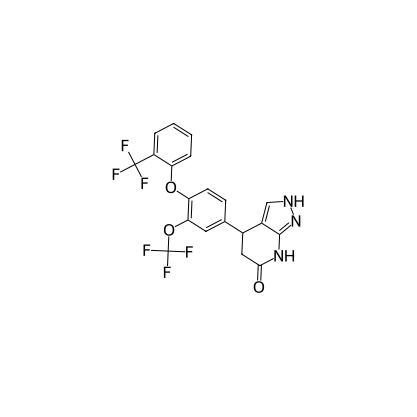 O=C1CC(c2ccc(Oc3ccccc3C(F)(F)F)c(OC(F)(F)F)c2)c2c[nH]nc2N1